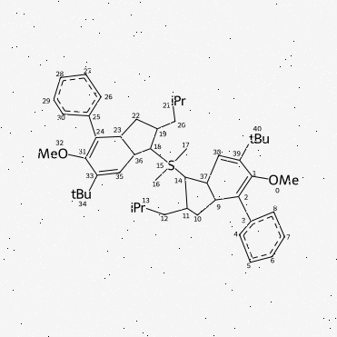 COC1=C(c2ccccc2)C2CC(CC(C)C)C(S(C)(C)C3C(CC(C)C)CC4C(c5ccccc5)=C(OC)C(C(C)(C)C)=CC43)C2C=C1C(C)(C)C